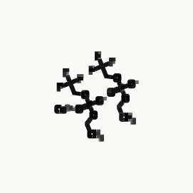 CCOP(=O)([O-])OCC(F)(F)F.CCOP(=O)([O-])OCC(F)(F)F.[Co+2]